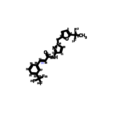 CC(F)(F)c1ccc(Cn2ccc(NC(=O)/C=C/c3cccc(C(F)(F)F)c3)n2)o1